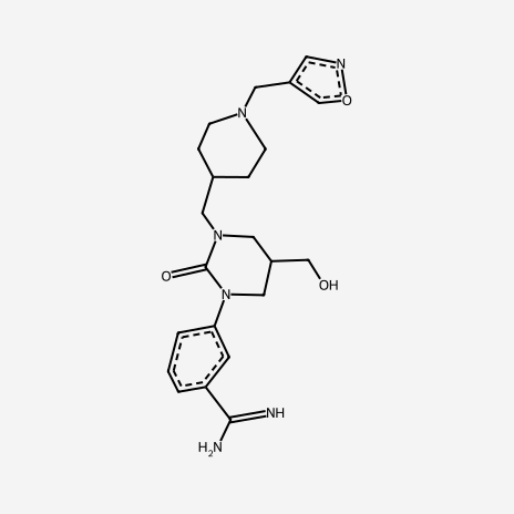 N=C(N)c1cccc(N2CC(CO)CN(CC3CCN(Cc4cnoc4)CC3)C2=O)c1